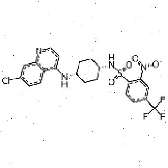 O=[N+]([O-])c1cc(C(F)(F)F)ccc1S(=O)(=O)N[C@H]1CC[C@@H](Nc2ccnc3cc(Cl)ccc23)CC1